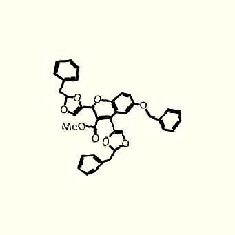 COC(=O)C1=C(C2=COC(Cc3ccccc3)O2)c2cc(OCc3ccccc3)ccc2OC1C1=COC(Cc2ccccc2)O1